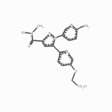 CCN(C)C(=O)c1cc(-c2ccc(OCC(=O)O)cn2)n(-c2ccc(C)nc2)n1